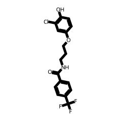 O=C(NCCCOc1ccc(O)c(Cl)c1)c1ccc(C(F)(F)F)cc1